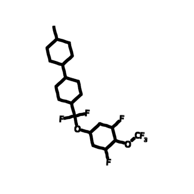 CC1CCC(C2CCC(C(F)(F)OC3CC(F)C(OC(F)(F)F)C(F)C3)CC2)CC1